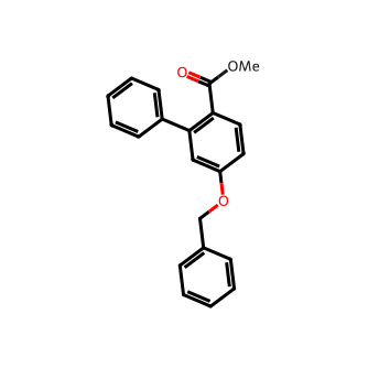 COC(=O)c1ccc(OCc2ccccc2)cc1-c1ccccc1